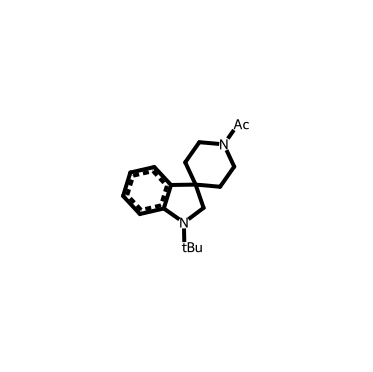 CC(=O)N1CCC2(CC1)CN(C(C)(C)C)c1ccccc12